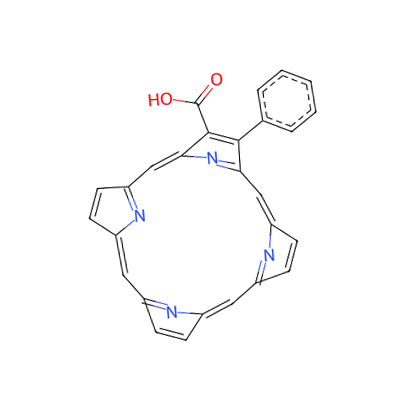 O=C(O)C1=C(c2ccccc2)C2=NC1=CC1=NC(=CC3=NC(=CC4=NC(=C2)C=C4)C=C3)C=C1